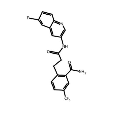 NC(=O)c1cc(C(F)(F)F)ccc1C[CH]C(=O)Nc1cnc2ccc(F)cc2c1